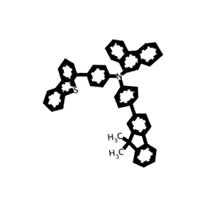 CC1(C)c2ccccc2-c2ccc(-c3ccc(N(c4ccc(-c5cccc6c5sc5ccccc56)cc4)c4cc5ccccc5c5ccccc45)cc3)cc21